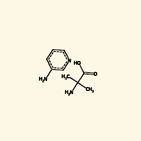 CC(C)(N)C(=O)O.Nc1cccnc1